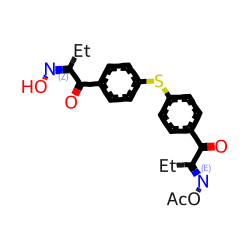 CC/C(=N/O)C(=O)c1ccc(Sc2ccc(C(=O)/C(CC)=N/OC(C)=O)cc2)cc1